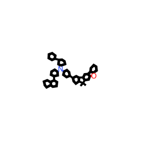 CC1(C)c2ccc(-c3ccc(N(c4cccc(-c5ccccc5)c4)c4cccc(-c5cccc6ccccc56)c4)cc3)cc2-c2cc3c(cc21)oc1ccccc13